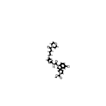 COC(=O)N1CCC2(C1)CN(C(=O)Nc1ncc(SCCCC(=O)N3CCOCC3)s1)c1ccc(Cl)cc12